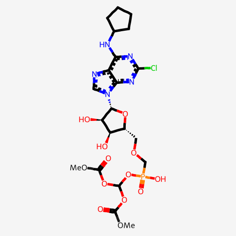 COC(=O)OC(OC(=O)OC)OP(=O)(O)COC[C@H]1O[C@@H](n2cnc3c(NC4CCCC4)nc(Cl)nc32)[C@H](O)[C@@H]1O